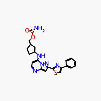 NS(=O)OCC1CCC(Nc2ccnc3cc(-c4nc(-c5ccccc5)cs4)nn23)C1